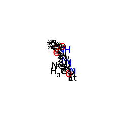 CCc1cnc(-c2cnc(N3CCC(C(=O)NS(=O)(=O)Cc4ccccc4)CC3)c(C#N)c2C)o1